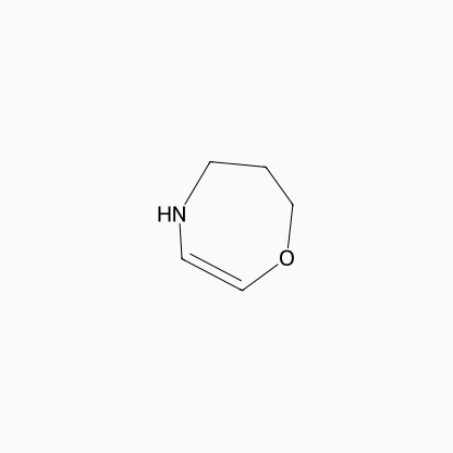 C1=COCCCN1